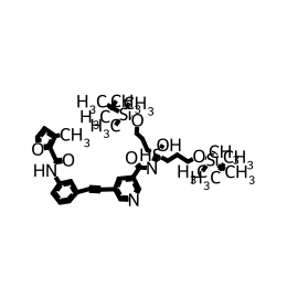 Cc1ccoc1C(=O)Nc1cccc(C#Cc2cncc(C(=O)N=[SH](O)(CCCO[Si](C)(C)C(C)(C)C)CCCO[Si](C)(C)C(C)(C)C)c2)c1